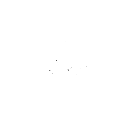 O=C1c2ccccc2C(=O)N1[C@@H]1CCC2(O)[C@H]3[C@@H](O)c4ccc(OCc5ccccc5)c5c4[C@@]2(CCN3CC2CC2)[C@H]1O5